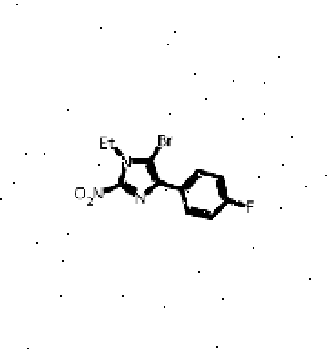 CCn1c([N+](=O)[O-])nc(-c2ccc(F)cc2)c1Br